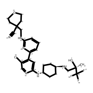 C[C@@](O)(CN[C@H]1CC[C@H](Nc2cc(-c3cccc(NCC4(C#N)CCOCC4)n3)c(Cl)cn2)CC1)C(F)(F)F